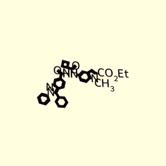 CCOC(=O)c1cc2cc(NC(=O)C3(NC(=O)c4ccc5c(C6CCCCC6)n(-c6ccccc6)nc5c4)CCC3)ccc2n1C